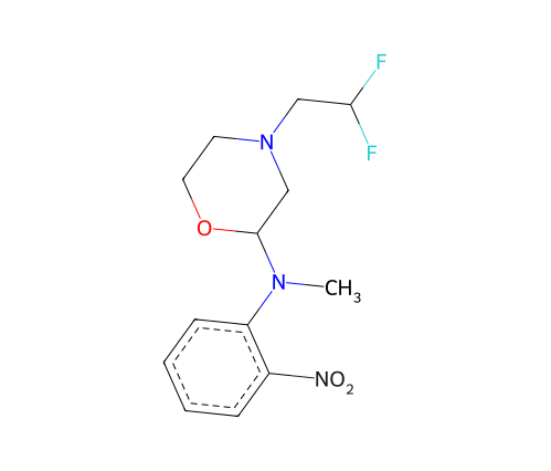 CN(c1ccccc1[N+](=O)[O-])C1CN(CC(F)F)CCO1